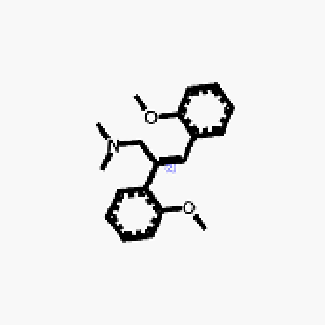 COc1ccccc1/C=C(\CN(C)C)c1ccccc1OC